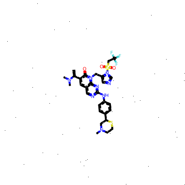 C=C(c1cc2cnc(Nc3ccc(C4CN(C)CCS4)cc3)nc2n(Cc2cncn2S(=O)(=O)CC(F)(F)F)c1=O)N(C)C